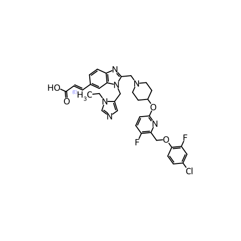 CCn1cncc1Cn1c(CN2CCC(Oc3ccc(F)c(COc4ccc(Cl)cc4F)n3)CC2)nc2ccc(/C=C/C(=O)O)cc21